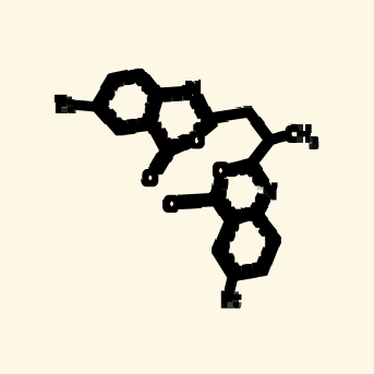 CCc1ccc2nc(CC(C)c3nc4ccc(CC)cc4c(=O)o3)oc(=O)c2c1